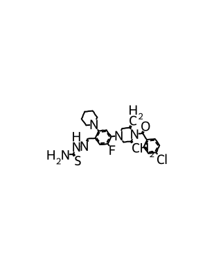 C=C1CN(c2cc(N3CCCCC3)c(/C=N/NC(N)=S)cc2F)CC(=C)N1C(=O)c1ccc(Cl)cc1